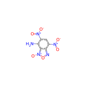 Nc1c([N+](=O)[O-])cc([N+](=O)[O-])c2no[n+]([O-])c12